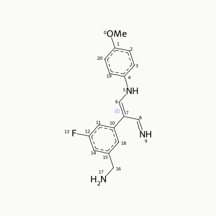 COc1ccc(N/C=C(\C=N)c2cc(F)cc(CN)c2)cc1